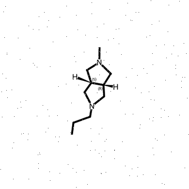 CCCN1C[C@H]2CN(C)C[C@H]2C1